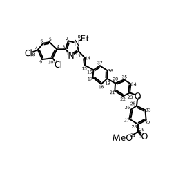 CCn1cc(-c2ccc(Cl)cc2Cl)nc1C=Cc1ccc(-c2ccc(Oc3ccc(C(=O)OC)cc3)cc2)cc1